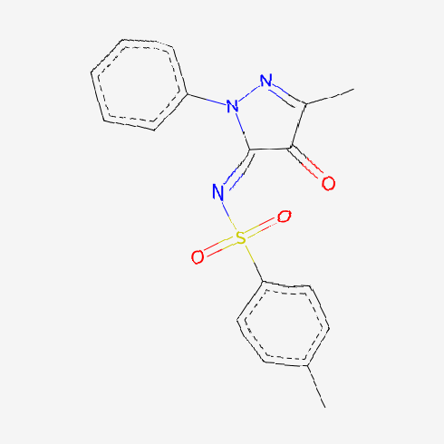 CC1=NN(c2ccccc2)C(=NS(=O)(=O)c2ccc(C)cc2)C1=O